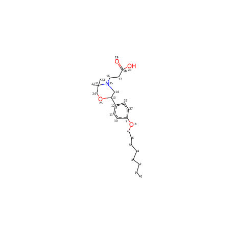 CCCCCCCCOc1ccc(C2CN(CCC(=O)O)C(C)(C)CO2)cc1